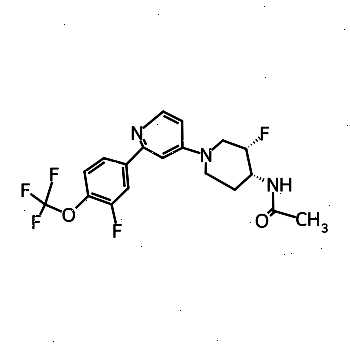 CC(=O)N[C@@H]1CCN(c2ccnc(-c3ccc(OC(F)(F)F)c(F)c3)c2)C[C@@H]1F